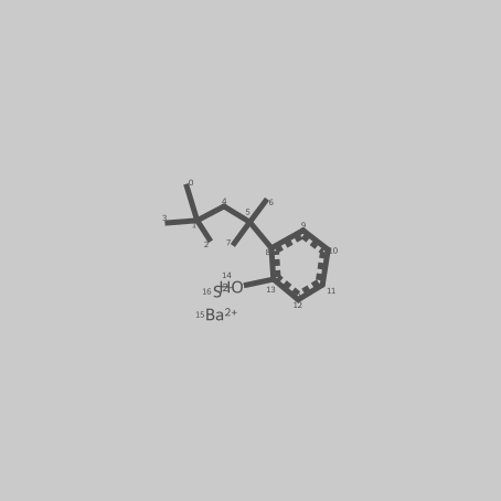 CC(C)(C)CC(C)(C)c1ccccc1O.[Ba+2].[S-2]